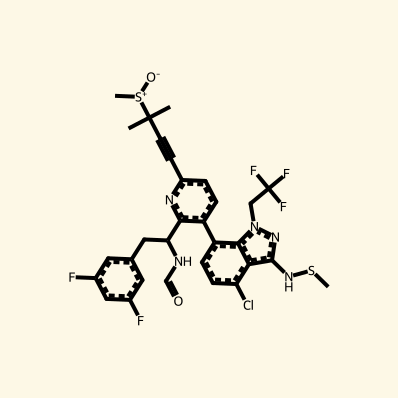 CSNc1nn(CC(F)(F)F)c2c(-c3ccc(C#CC(C)(C)[S+](C)[O-])nc3C(Cc3cc(F)cc(F)c3)NC=O)ccc(Cl)c12